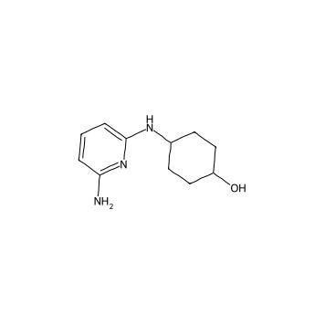 Nc1cccc(NC2CCC(O)CC2)n1